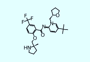 CC(C)(C)c1cc/c(=N\C(=O)c2cc(C(F)(F)F)ccc2OC[C@]2(C)CCCN2)n(C[C@H]2CCCO2)c1